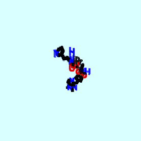 Cc1nc2c(Cc3ccc(S(=O)(=O)N[C@H](COC(=O)NCCCc4cccnc4)CC(C)C)cc3)nccc2n1C